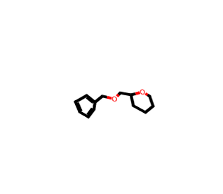 c1ccc(COCC2CCCCO2)cc1